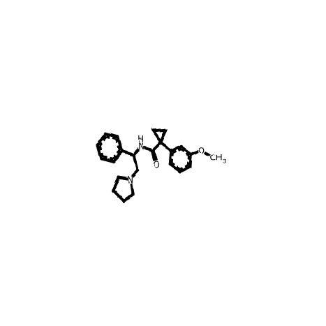 COc1cccc(C2(C(=O)NC(CN3CCCC3)c3ccccc3)CC2)c1